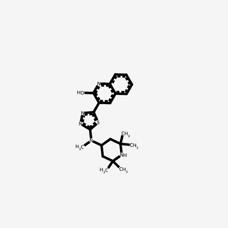 CN(c1nnc(-c2cc3ccccc3nc2O)s1)C1CC(C)(C)NC(C)(C)C1